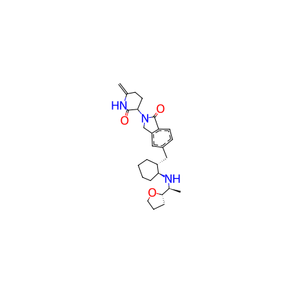 C=C1CCC(N2Cc3cc(C[C@H]4CCCC[C@@H]4N[C@@H](C)[C@@H]4CCCO4)ccc3C2=O)C(=O)N1